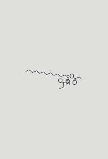 CCCCCCCCCCCC[SH](OC(=O)CC)OC(=O)CC